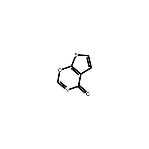 O=c1ncoc2sccc12